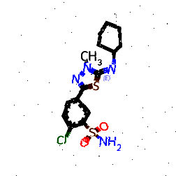 Cn1nc(-c2ccc(Cl)c(S(N)(=O)=O)c2)s/c1=N/C1CCCCC1